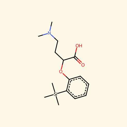 CN(C)CCC(Oc1ccccc1[Si](C)(C)C)C(=O)O